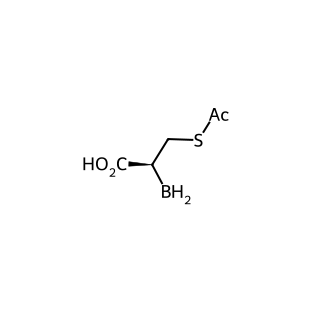 B[C@H](CSC(C)=O)C(=O)O